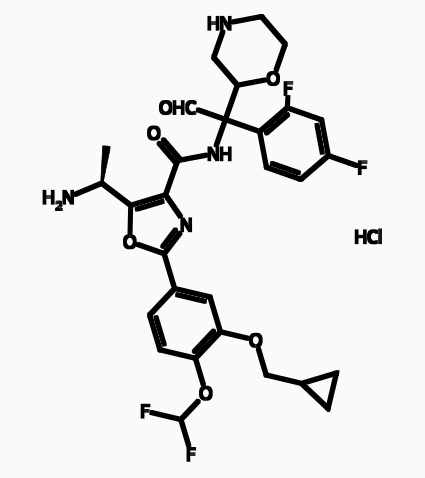 C[C@H](N)c1oc(-c2ccc(OC(F)F)c(OCC3CC3)c2)nc1C(=O)NC(C=O)(c1ccc(F)cc1F)C1CNCCO1.Cl